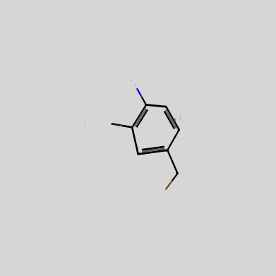 Br.Nc1ccc(CBr)cc1C(=O)O